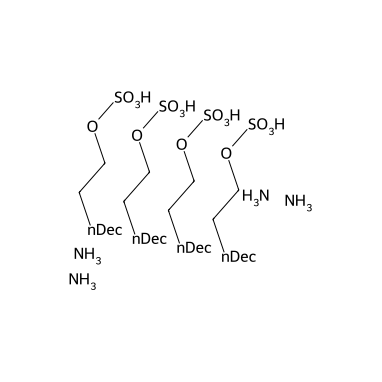 CCCCCCCCCCCCOS(=O)(=O)O.CCCCCCCCCCCCOS(=O)(=O)O.CCCCCCCCCCCCOS(=O)(=O)O.CCCCCCCCCCCCOS(=O)(=O)O.N.N.N.N